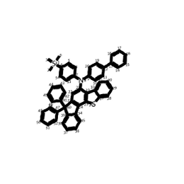 C[Si](C)(C)c1ccc(N(c2ccc(-c3ccccc3)cc2)c2cc3c(c4sc5ccccc5c24)-c2ccccc2C3(c2ccccc2)c2ccccc2)cc1